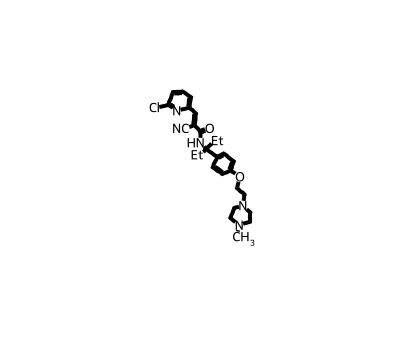 CCC(CC)(NC(=O)/C(C#N)=C/c1cccc(Cl)n1)c1ccc(OCCN2CCN(C)CC2)cc1